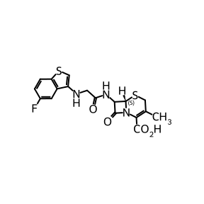 CC1=C(C(=O)O)N2C(=O)C(NC(=O)CNc3csc4ccc(F)cc34)[C@@H]2SC1